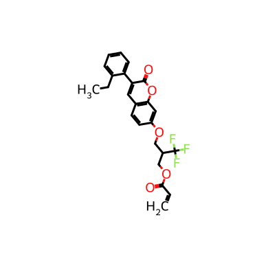 C=CC(=O)OCC(COc1ccc2cc(-c3ccccc3CC)c(=O)oc2c1)C(F)(F)F